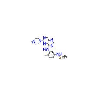 CCCSNc1ccc(C)c(Nc2ncnc3cnc(N4CCN(C)CC4)nc23)c1